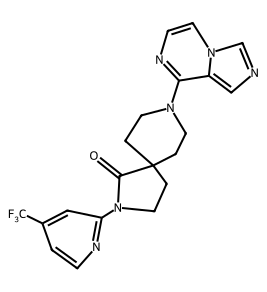 O=C1N(c2cc(C(F)(F)F)ccn2)CCC12CCN(c1nccn3cncc13)CC2